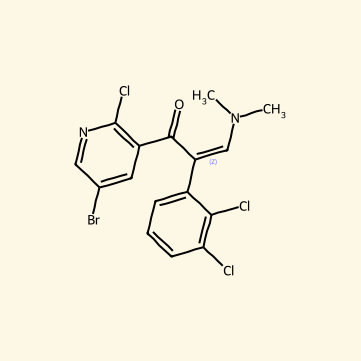 CN(C)/C=C(\C(=O)c1cc(Br)cnc1Cl)c1cccc(Cl)c1Cl